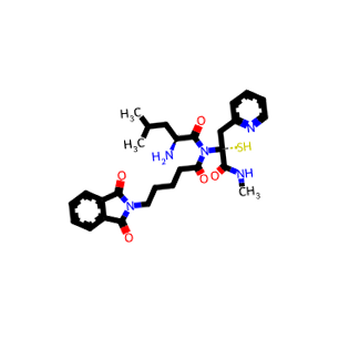 CNC(=O)[C@](S)(Cc1ccccn1)N(C(=O)CCCCN1C(=O)c2ccccc2C1=O)C(=O)[C@@H](N)CC(C)C